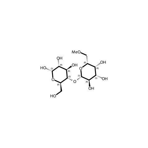 COC[C@H]1O[C@@H](O[C@H]2[C@H](O)[C@@H](O)[C@@H](O)O[C@@H]2CO)[C@H](O)[C@@H](O)[C@H]1O